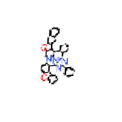 c1ccc(-c2nc(-c3ccccc3-c3cncc4oc5cc6ccccc6cc5c34)nc(-c3cccc4oc5ccccc5c34)n2)cc1